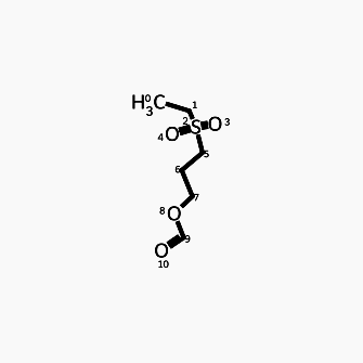 CCS(=O)(=O)CCCOC=O